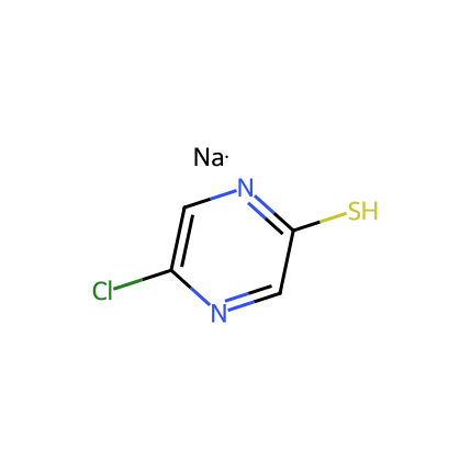 Sc1cnc(Cl)cn1.[Na]